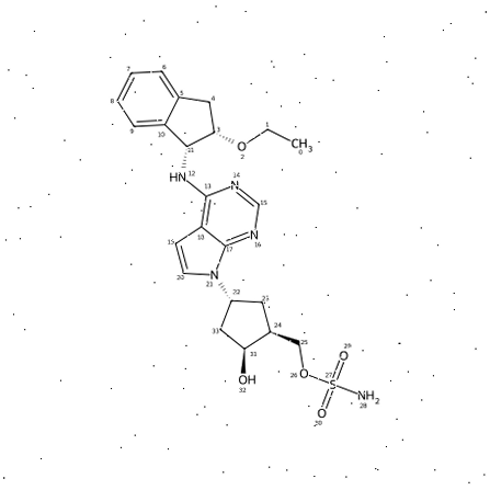 CCO[C@H]1Cc2ccccc2[C@H]1Nc1ncnc2c1ccn2[C@@H]1C[C@@H](COS(N)(=O)=O)[C@@H](O)C1